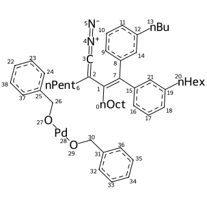 CCCCCCCCC(C(=C=[N+]=[N-])CCCCC)=C(c1cccc(CCCC)c1)c1cccc(CCCCCC)c1.c1ccc(C[O][Pd][O]Cc2ccccc2)cc1